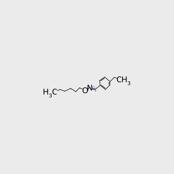 CCCCCCO/N=[C]/c1ccc(CC)cc1